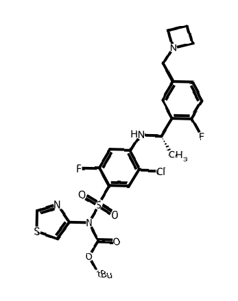 C[C@H](Nc1cc(F)c(S(=O)(=O)N(C(=O)OC(C)(C)C)c2cscn2)cc1Cl)c1cc(CN2CCC2)ccc1F